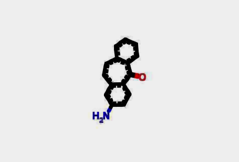 Nc1ccc2c(=O)c3ccccc3ccc2c1